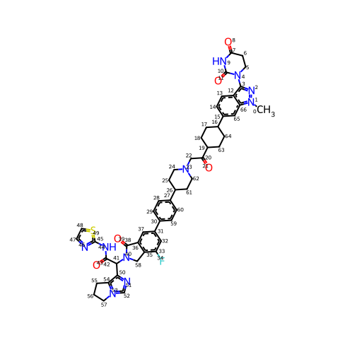 Cn1nc(N2CCC(=O)NC2=O)c2ccc(C3CCC(C(=O)CN4CCC(c5ccc(-c6cc(F)c7c(c6)C(=O)N(C(C(=O)Nc6nccs6)c6ncn8c6CCC8)C7)cc5)CC4)CC3)cc21